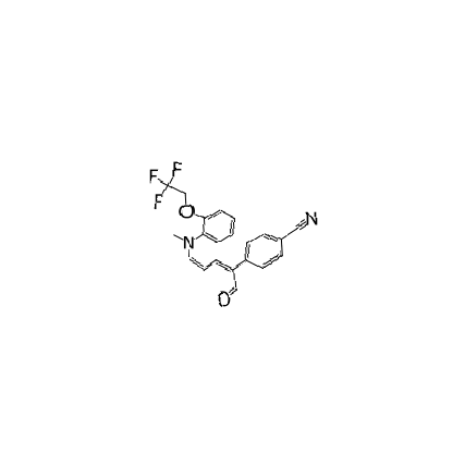 CN(/C=C\C=C(/C=O)c1ccc(C#N)cc1)c1ccccc1OCC(F)(F)F